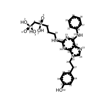 O=P(O)(O)CP(=O)(O)CCCNc1nc(Nc2ccccc2)c2ncn(CCc3ccc(O)cc3)c2n1